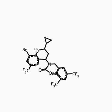 COC(=O)N(Cc1cc(C(F)(F)F)cc(C(F)(F)F)c1)C1CC(C2CC2)Nc2c(Br)cc(C(F)(F)F)cc21